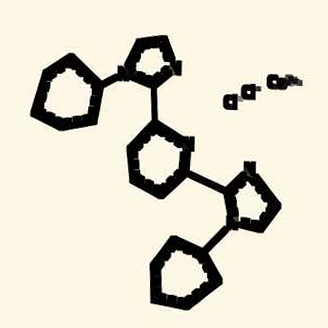 [Cl-].[Cl-].[Co+2].c1ccc(-n2ccnc2-c2cccc(-c3nccn3-c3ccccc3)n2)cc1